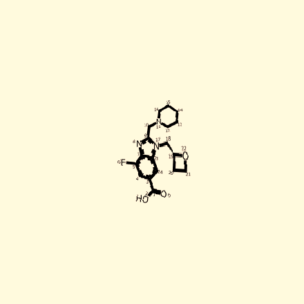 O=C(O)c1cc(F)c2nc(CN3CCCCC3)n(C[C@@H]3CCO3)c2c1